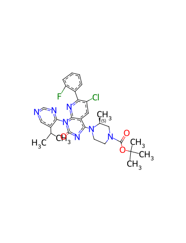 CC(C)c1cncnc1-n1c(=O)nc(N2CCN(C(=O)OC(C)(C)C)C[C@@H]2C)c2cc(Cl)c(-c3ccccc3F)nc21